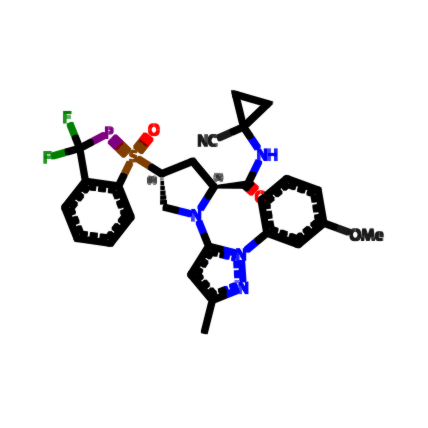 COc1cccc(-n2nc(C)cc2N2C[C@H](S3(=O)=PC(F)(F)c4ccccc43)C[C@H]2C(=O)NC2(C#N)CC2)c1